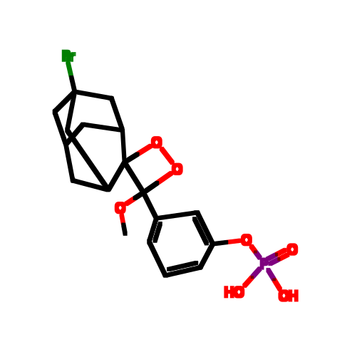 COC1(c2cccc(OP(=O)(O)O)c2)OOC12C1CC3CC2CC(Br)(C3)C1